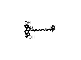 CO[C@H]1c2cc(O)ccc2C2CC[C@@]3(C)C(C[C@@H](O)C34CC4)C2[C@@H]1CCCCCCCCCSCCCC(F)(F)C(F)(F)F